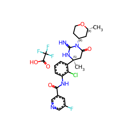 C[C@@H]1C[C@H](N2C(=N)N[C@](C)(c3cccc(NC(=O)c4cncc(F)c4)c3Cl)CC2=O)CCO1.O=C(O)C(F)(F)F